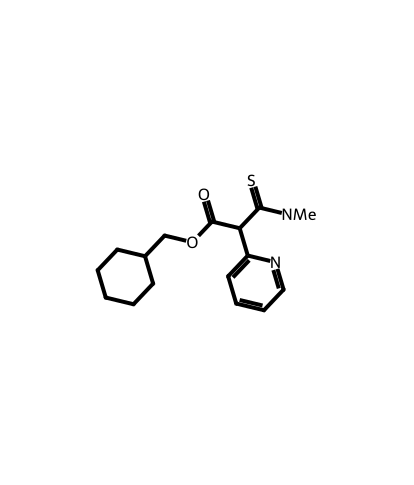 CNC(=S)C(C(=O)OCC1CCCCC1)c1ccccn1